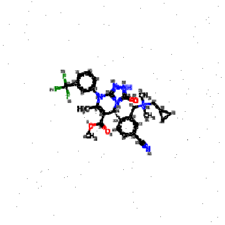 COC(=O)C1=C(C)N(c2cccc(C(F)(F)F)c2)c2n[nH]c(=O)n2[C@@H]1c1ccc(C#N)cc1C[N+](C)(C)CC1CC1